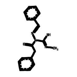 CN=C(S)N(N=Cc1ccccc1)C(=O)Cc1ccccc1